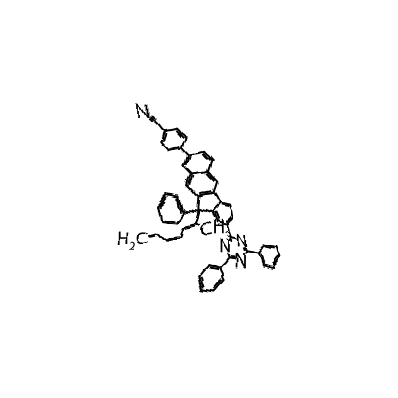 C=C/C=C\C=C(/C)C1(c2ccccc2)c2cc(-c3nc(-c4ccccc4)nc(-c4ccccc4)n3)ccc2-c2cc3ccc(-c4ccc(C#N)cc4)cc3cc21